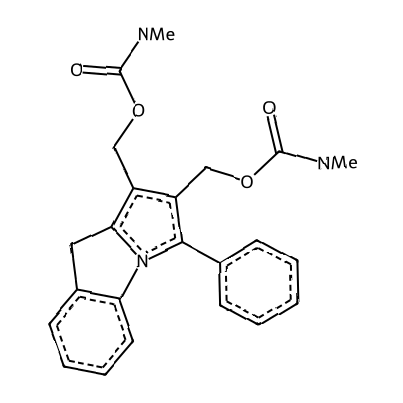 CNC(=O)OCc1c(COC(=O)NC)c(-c2ccccc2)n2c1Cc1ccccc1-2